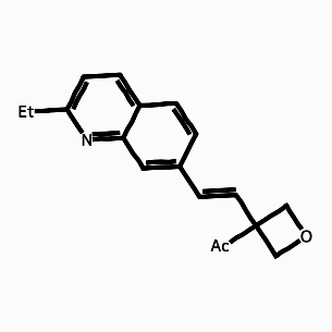 CCc1ccc2ccc(/C=C/C3(C(C)=O)COC3)cc2n1